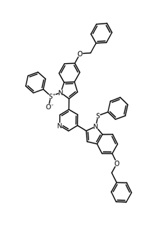 [O-][S+](c1ccccc1)n1c(-c2cncc(-c3cc4cc(OCc5ccccc5)ccc4n3Sc3ccccc3)c2)cc2cc(OCc3ccccc3)ccc21